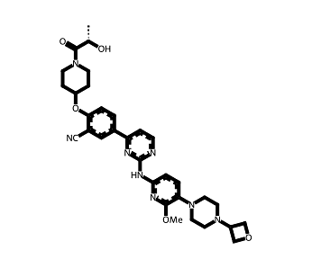 COc1nc(Nc2nccc(-c3ccc(OC4CCN(C(=O)[C@H](C)O)CC4)c(C#N)c3)n2)ccc1N1CCN(C2COC2)CC1